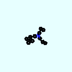 c1ccc(C2(c3ccccc3)c3ccccc3-c3c(-c4ccc(N(c5ccc(-c6ccc7ccccc7c6)cc5)c5ccc(-c6cccc7ccccc67)cc5)cc4)cccc32)cc1